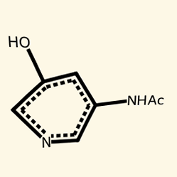 CC(=O)Nc1cncc(O)c1